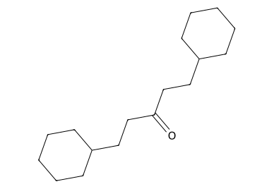 O=C(CCC1CCCCC1)CCC1CCCCC1